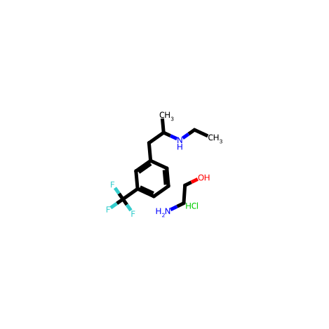 CCNC(C)Cc1cccc(C(F)(F)F)c1.Cl.NCCO